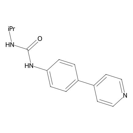 CC(C)NC(=O)Nc1ccc(-c2ccncc2)cc1